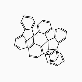 c1ccc(-c2cccc3c2C2(c4ccccc4-c4ccccc42)c2ccccc2C32c3ccccc3-c3ccccc32)nc1